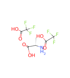 C[C@H](N)C(=O)O.O=C(O)C(F)(F)F.O=C(O)C(F)(F)F